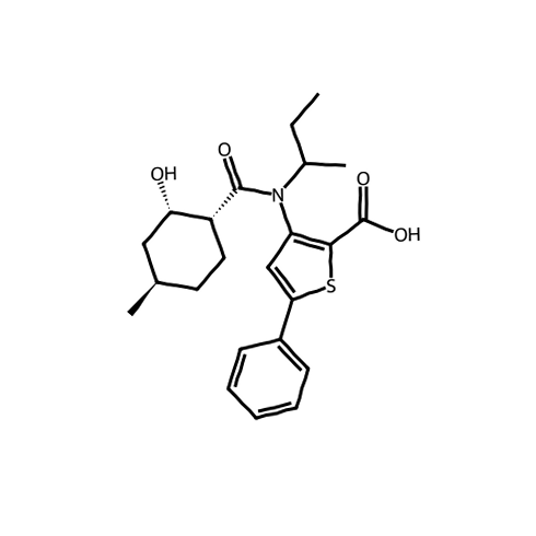 CCC(C)N(C(=O)[C@@H]1CC[C@@H](C)C[C@@H]1O)c1cc(-c2ccccc2)sc1C(=O)O